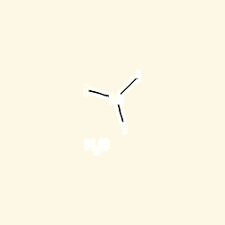 O.[I][La]([I])[I]